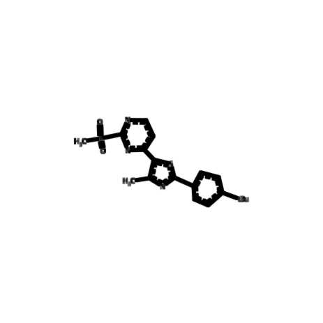 Cc1nc(-c2ccc(C(C)(C)C)cc2)sc1-c1ccnc(S(C)(=O)=O)n1